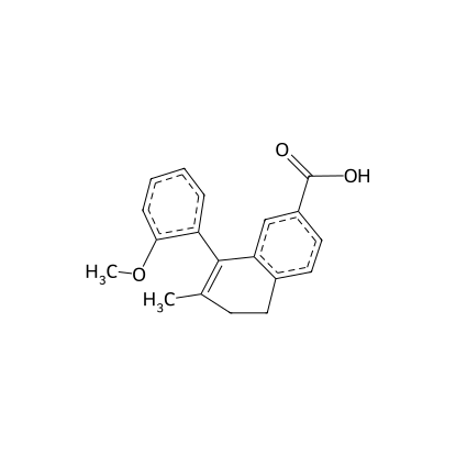 COc1ccccc1C1=C(C)CCc2ccc(C(=O)O)cc21